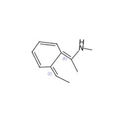 C/C=c1/cccc/c1=C(/C)NC